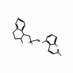 Cc1ccc2c(/N=C/C(O)(CC3c4ccccc4CCC3C)C(F)(F)F)cccc2n1